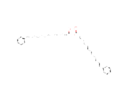 O=C(CCCCCCCCCCCCc1ccccc1)OC(=O)CCCCCCCCCCCCc1ccccc1